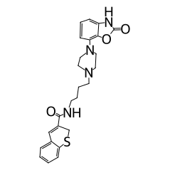 O=C(NCCCCN1CCN(c2cccc3[nH]c(=O)oc23)CC1)C1=Cc2ccccc2SC1